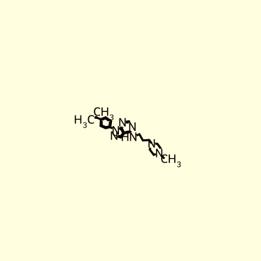 CC(C)c1ccc(-n2ncc3c(NCCCN4CCN(C)CC4)ncnc32)cc1